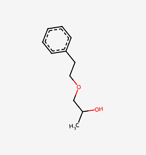 CC(O)COCCc1ccccc1